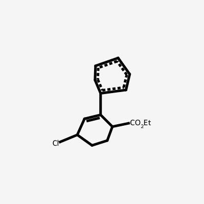 CCOC(=O)C1CCC(Cl)C=C1c1ccccc1